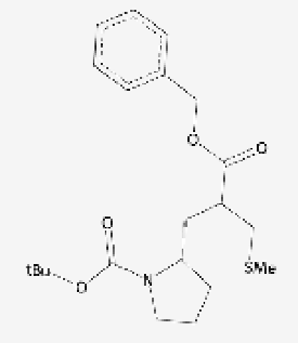 CSCC(C[C@@H]1CCCN1C(=O)OC(C)(C)C)C(=O)OCc1ccccc1